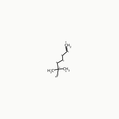 C=CCCCC(C)(C)F